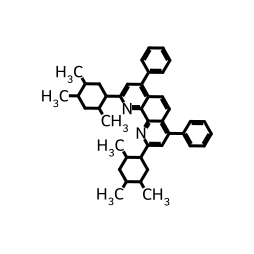 CC1CC(C)C(c2cc(-c3ccccc3)c3ccc4c(-c5ccccc5)cc(C5CC(C)C(C)CC5C)nc4c3n2)CC1C